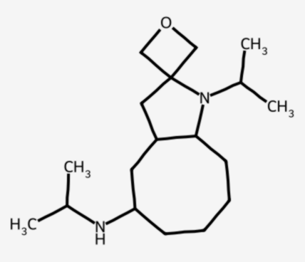 CC(C)NC1CCCCC2C(C1)CC1(COC1)N2C(C)C